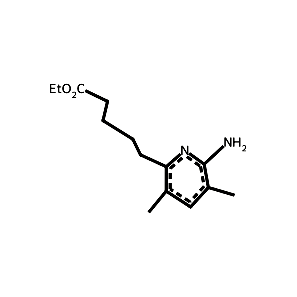 CCOC(=O)CCCCc1nc(N)c(C)cc1C